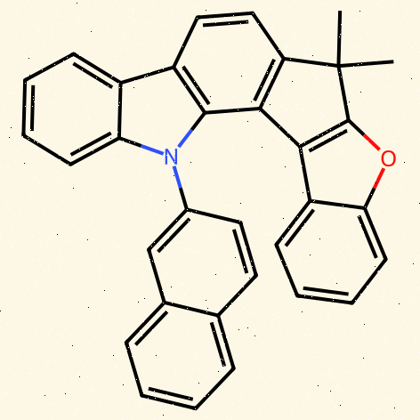 CC1(C)c2ccc3c4ccccc4n(-c4ccc5ccccc5c4)c3c2-c2c1oc1ccccc21